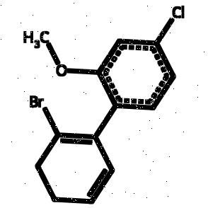 COc1cc(Cl)ccc1C1=C(Br)CCC=C1